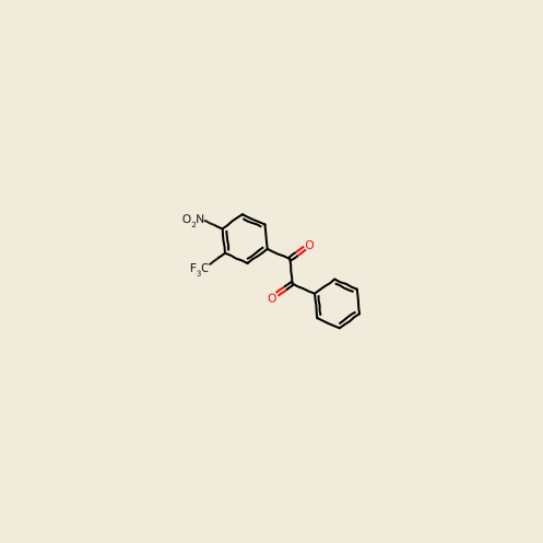 O=C(C(=O)c1ccc([N+](=O)[O-])c(C(F)(F)F)c1)c1ccccc1